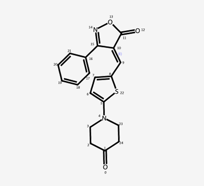 O=C1CCN(c2ccc(/C=C3/C(=O)ON=C3c3ccccc3)s2)CC1